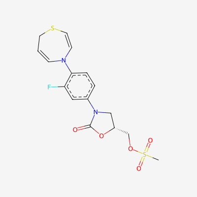 CS(=O)(=O)OC[C@H]1CN(c2ccc(N3C=CCSC=C3)c(F)c2)C(=O)O1